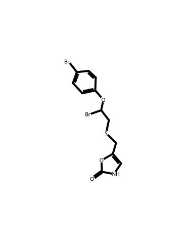 O=c1[nH]cc(CSCC(Br)Oc2ccc(Br)cc2)o1